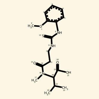 COc1ccccc1NC(=S)NCCC(=O)N(C)C(C(=O)O)C(C)C